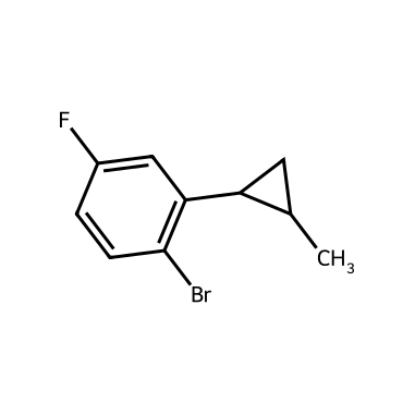 CC1CC1c1cc(F)ccc1Br